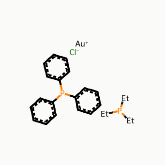 CCP(CC)CC.[Au+].[Cl-].c1ccc(P(c2ccccc2)c2ccccc2)cc1